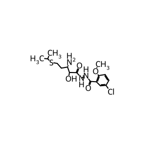 COc1ccc(Cl)cc1C(=O)NNC(=O)C(O)[C@H](N)CCSC(C)C